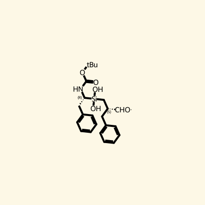 CC(C)(C)OC(=O)N[C@@H](Cc1ccccc1)[Si](O)(O)C[C@H]([C]=O)Cc1ccccc1